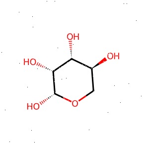 O[C@@H]1[C@H](O)[C@@H](O)CO[C@@H]1O